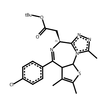 CC1=C(C)C2C(c3ccc(Cl)cc3)=N[C@@H](CC(=O)OC(C)(C)C)c3nnc(C)n3C2S1